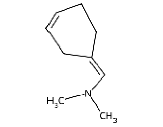 CN(C)C=C1CC=CCC1